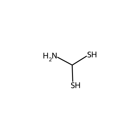 NC(S)S